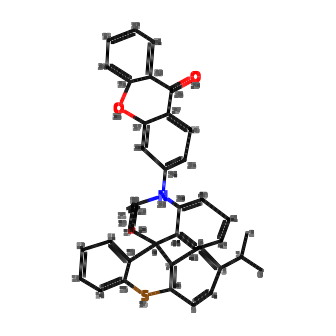 CC(C)c1ccc2c(c1)C1(c3ccccc3S2)c2ccccc2N(c2ccc3c(=O)c4ccccc4oc3c2)c2ccccc21